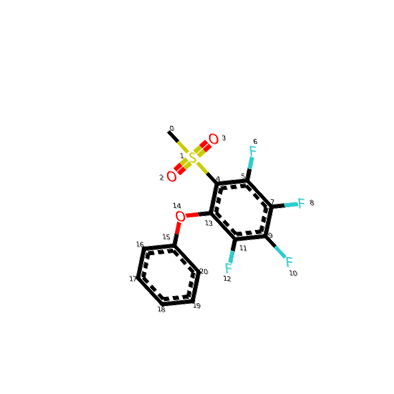 CS(=O)(=O)c1c(F)c(F)c(F)c(F)c1Oc1ccccc1